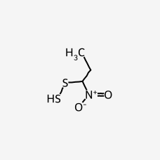 CCC(SS)[N+](=O)[O-]